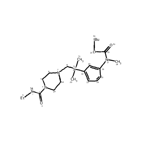 CCNC(=O)N1CCN(C[Si](C)(C)c2cccc(N(C)C(=O)OC(C)(C)C)c2)CC1